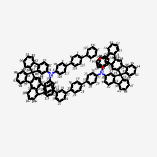 c1ccc(-c2ccc(-c3ccc(N(c4cccc(-c5cccc(-c6ccc(-c7ccc(N(c8ccccc8)c8ccc9c(c8)C8(c%10ccccc%10-9)c9ccccc9-c9cc%10c%11ccccc%11c%11ccccc%11c%10cc98)cc7)cc6)c5)c4)c4ccc5c(c4)C4(c6ccccc6-5)c5ccccc5-c5c4cc4c6c(cccc56)-c5ccccc5-4)cc3)cc2)cc1